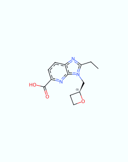 CCc1nc2ccc(C(=O)O)nc2n1C[C@@H]1CCO1